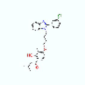 Cc1c(OCCCCn2c(-c3cccc(Cl)c3)nc3ccccc32)ccc(C(=O)CC(C)C)c1O